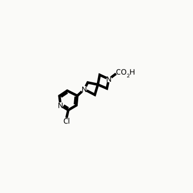 O=C(O)N1CC2(C1)CN(c1ccnc(Cl)c1)C2